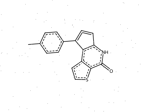 Cc1ccc(C2=C=Cc3[nH]c(=O)c4sccc4c32)cc1